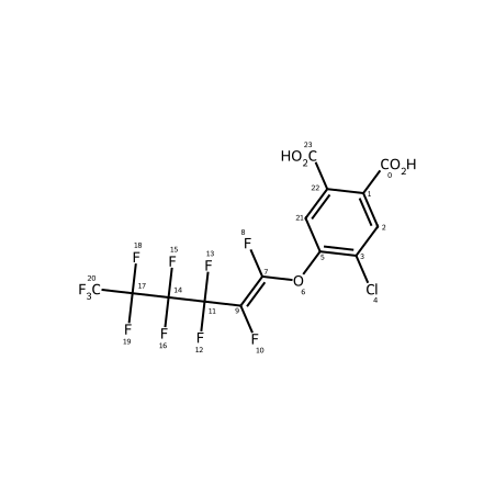 O=C(O)c1cc(Cl)c(OC(F)=C(F)C(F)(F)C(F)(F)C(F)(F)C(F)(F)F)cc1C(=O)O